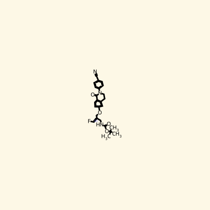 CC(C)(C)OC(=O)NC/C(=C/F)COc1ccc2c(c1)CCN(c1ccc(C#N)cc1)C2=O